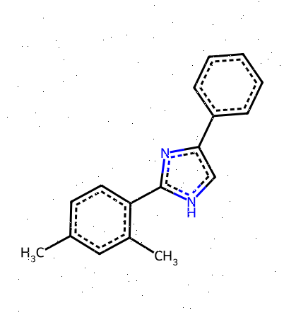 Cc1ccc(-c2nc(-c3ccccc3)c[nH]2)c(C)c1